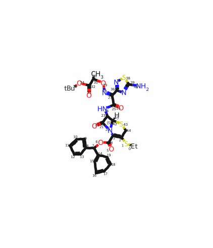 CCSC1=C(C(=O)OC(c2ccccc2)c2ccccc2)N2C(=O)C(NC(=O)C(=NOC(C)C(=O)OC(C)(C)C)c3nsc(N)n3)[C@@H]2SC1